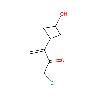 C=C(C(=O)CCl)C1CC(O)C1